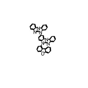 c1ccc2c(c1)nc1n(-c3ccc4c(c3)n3c5ccccc5nc3n4-c3cccc4oc5ccccc5c34)c3ccccc3n21